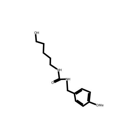 COc1ccc(CNC(=O)NCCCCCO)cc1